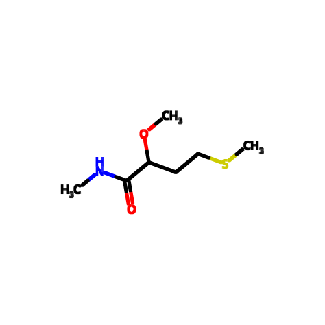 CNC(=O)C(CCSC)OC